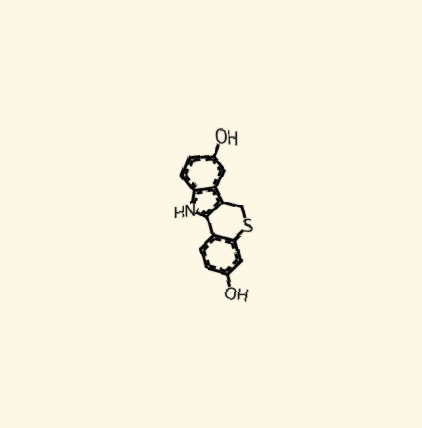 Oc1ccc2c(c1)SCc1c-2[nH]c2ccc(O)cc12